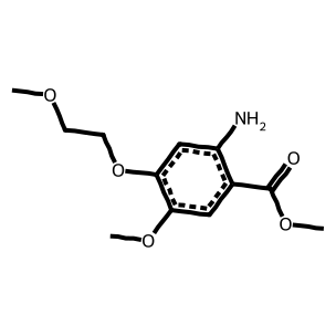 COCCOc1cc(N)c(C(=O)OC)cc1OC